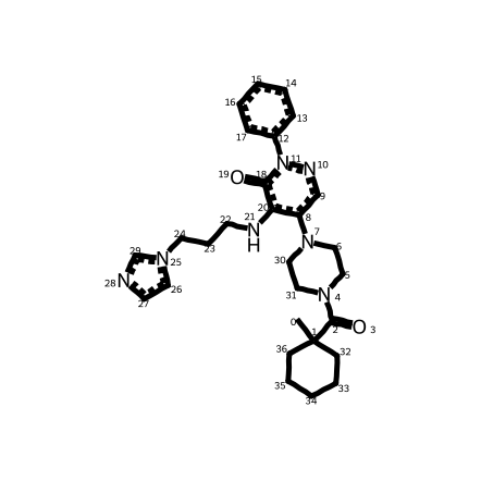 CC1(C(=O)N2CCN(c3cnn(-c4ccccc4)c(=O)c3NCCCn3ccnc3)CC2)CCCCC1